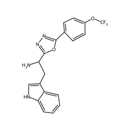 NC(Cc1c[nH]c2ccccc12)c1nnc(-c2ccc(OC(F)(F)F)cc2)o1